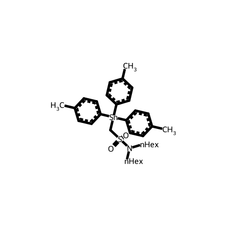 CCCCCCN(CCCCCC)S(=O)(=O)[CH2][Sn]([c]1ccc(C)cc1)([c]1ccc(C)cc1)[c]1ccc(C)cc1